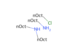 CCCCCCCCCl.CCCCCCCCN.CCCCCCCCNCCCCCCCC